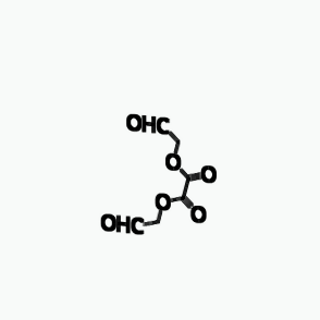 O=CCOC(=O)C(=O)OCC=O